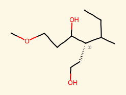 CCC(C)[C@H](CCO)C(O)CCOC